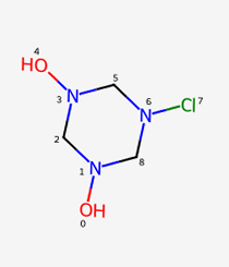 ON1CN(O)CN(Cl)C1